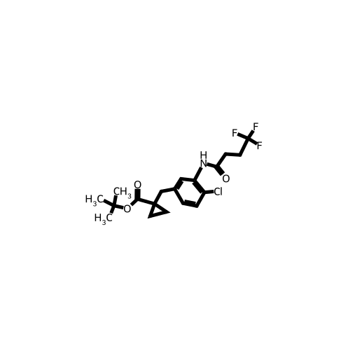 CC(C)(C)OC(=O)C1(Cc2ccc(Cl)c(NC(=O)CCC(F)(F)F)c2)CC1